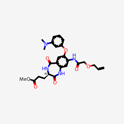 C=CCOCC(=O)Nc1cc2c(cc1Oc1cccc(N(C)C)c1)C(=O)N[C@H](CCC(=O)OC)C(=O)N2